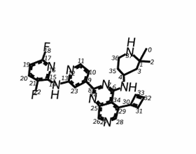 CC1(C)CC(Nc2nc(-c3ccnc(Nc4nc(F)ccc4F)c3)nc3cncc(C4=CC=C4)c23)CCN1